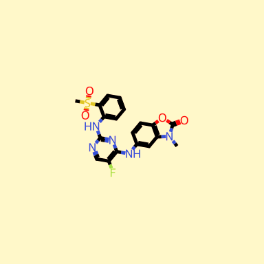 Cn1c(=O)oc2ccc(Nc3nc(Nc4ccccc4S(C)(=O)=O)ncc3F)cc21